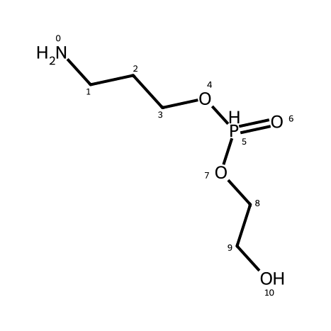 NCCCO[PH](=O)OCCO